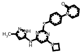 Cc1cc(Nc2cc(N3CCC3)nc(Sc3ccc(-n4ccccc4=O)cc3)n2)[nH]n1